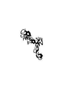 Nc1ncnc2c1c(-c1ccc(NS(=O)(=O)c3cccc(Cl)c3Cl)c(F)c1)nn2CC(=O)N1CCOCC1